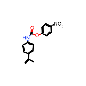 C=C(C)c1ccc(NC(=O)Oc2ccc([N+](=O)[O-])cc2)cc1